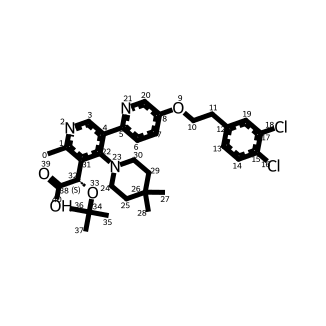 Cc1ncc(-c2ccc(OCCc3ccc(Cl)c(Cl)c3)cn2)c(N2CCC(C)(C)CC2)c1[C@H](OC(C)(C)C)C(=O)O